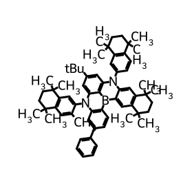 Cc1cc2c(cc1N1c3cc(-c4ccccc4)ccc3B3c4cc5c(cc4N(c4ccc6c(c4)C(C)(C)CCC6(C)C)c4cc(C(C)(C)C)cc1c43)C(C)(C)CCC5(C)C)C(C)(C)CCC2(C)C